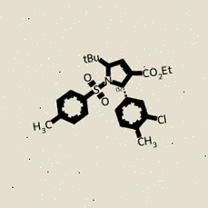 CCOC(=O)C1=CC(C(C)(C)C)N(S(=O)(=O)c2ccc(C)cc2)[C@H]1c1ccc(C)c(Cl)c1